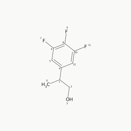 CC(CO)c1cc(F)c(F)c(F)c1